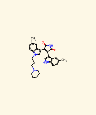 Cc1ccc2[nH]cc(C3=C(c4cn(CCCN5CCCCC5)c5ccc(C)cc45)C(=O)NC3=O)c2c1